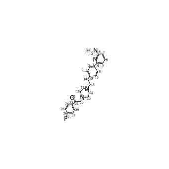 Cc1cc(-c2cccc(N)n2)ccc1CCN1CCN(CC(=O)c2ccc(F)cc2)CC1